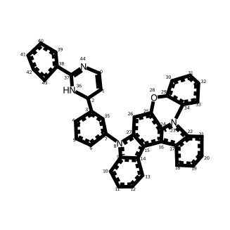 C1=CC(c2cccc(-n3c4ccccc4c4c5c6ccccc6n6c5c(cc43)Oc3ccccc3-6)c2)NC(c2ccccc2)=N1